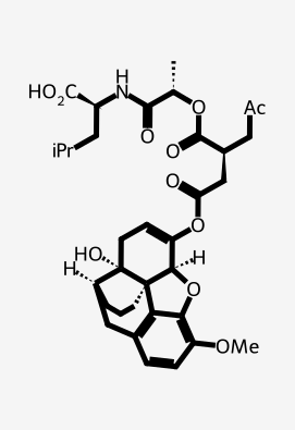 COc1ccc2c3c1O[C@@H]1C(OC(=O)C[C@H](CC(C)=O)C(=O)O[C@@H](C)C(=O)N[C@@H](CC(C)C)C(=O)O)=CC[C@]4(O)[C@@H](CCC[C@@]314)C2